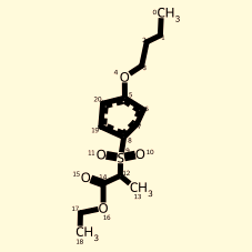 CCCCOc1ccc(S(=O)(=O)C(C)C(=O)OCC)cc1